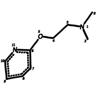 CN(C)CCOc1[c]cccn1